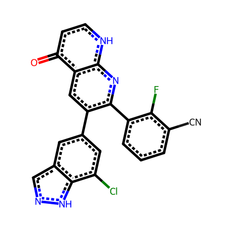 N#Cc1cccc(-c2nc3[nH]ccc(=O)c3cc2-c2cc(Cl)c3[nH]ncc3c2)c1F